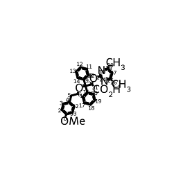 COc1ccc(CCOC(c2ccccc2)(c2ccccc2)C(Oc2nc(C)cc(C)n2)C(=O)O)cc1